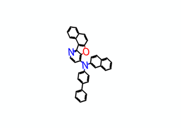 c1ccc(-c2ccc(N(c3ccc4ccccc4c3)c3ccnc4c3oc3ccc5ccccc5c34)cc2)cc1